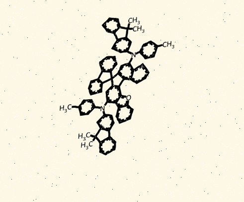 Cc1ccc(N(c2ccc3c(c2)C(C)(C)c2ccccc2-3)c2cc3c(c4ccccc24)-c2c(cc(N(c4ccc(C)cc4)c4ccc5c(c4)C(C)(C)c4ccccc4-5)c4c2oc2ccccc24)C32c3ccccc3-c3ccccc32)cc1